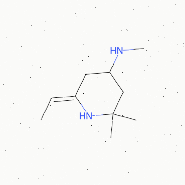 C/C=C1/CC(NC)CC(C)(C)N1